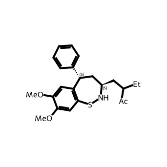 CCC(C[C@@H]1C[C@@H](c2ccccc2)c2cc(OC)c(OC)cc2SN1)C(C)=O